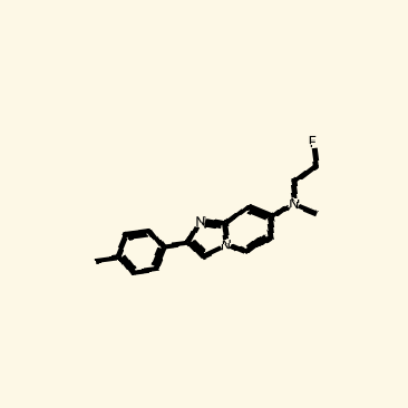 Cc1ccc(-c2cn3ccc(N(C)CCF)cc3n2)cc1